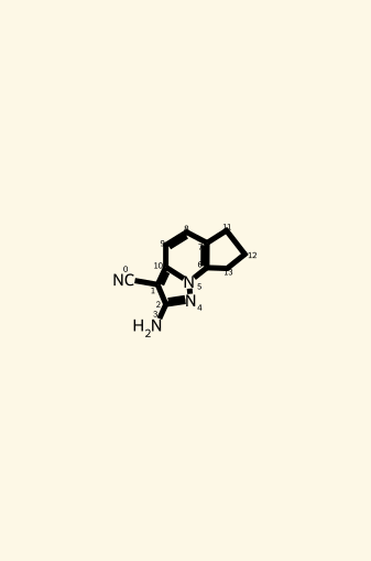 N#Cc1c(N)nn2c3c(ccc12)CCC3